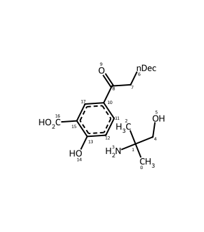 CC(C)(N)CO.CCCCCCCCCCCC(=O)c1ccc(O)c(C(=O)O)c1